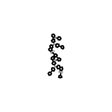 c1ccc(-c2ccc(N(c3ccc4ccc5nc(-c6ccc(-c7ccccc7-n7c8ccccc8c8ccc(N(c9ccc(-c%10ccccc%10)cc9)c9ccc%10ccc%11oc(-c%12ccccc%12)nc%11c%10c9)cc87)cc6)oc5c4c3)c3ccc4c5ccccc5n(-c5ccccc5)c4c3)cc2)cc1